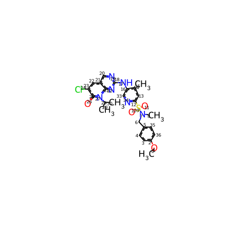 COc1ccc(CN(C)S(=O)(=O)c2cc(C)c(Nc3ncc4cc(Cl)c(=O)n(C(C)C)c4n3)cn2)cc1